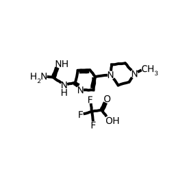 CN1CCN(c2ccc(NC(=N)N)nc2)CC1.O=C(O)C(F)(F)F